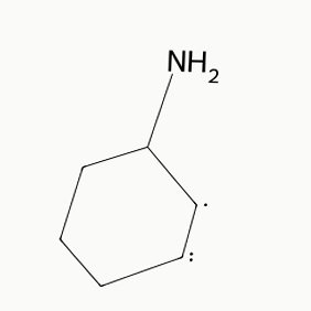 NC1[CH][C]CCC1